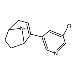 CN1C2CC=C(c3cncc(Cl)c3)C1CC2